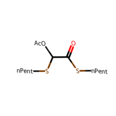 CCCCCSC(=O)C(OC(C)=O)SCCCCC